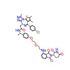 Cc1sc2c(c1C)C(c1ccc(Cl)cc1)=N[C@@H](CC(=O)N[C@H](C)c1ccc(OCCOCCNc3cccc4c3C(=O)N(C3CCC(=O)NC3=O)C4=O)cc1)c1nnc(C)n1-2